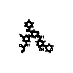 C=CC(=O)Nc1cc(F)cc(-c2nc(Nc3ccc(O)c(N4CCOCC4)c3)ncc2Nc2ccccc2)c1